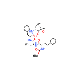 CC(C)CC(NC(=O)[C@H](CCc1ccccc1)NC(=O)OC(C)(C)C)C(=O)N[C@@H](Cc1ccccc1)C(=O)N[C@H](CC(C)C)C(=O)[C@]1(C)CO1